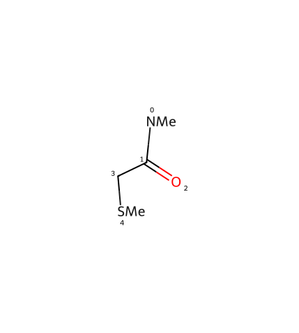 [CH2]NC(=O)CSC